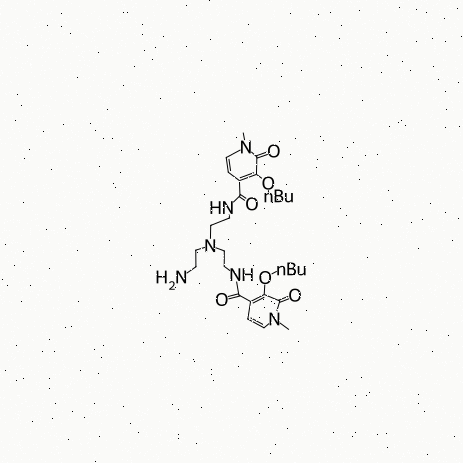 CCCCOc1c(C(=O)NCCN(CCN)CCNC(=O)c2ccn(C)c(=O)c2OCCCC)ccn(C)c1=O